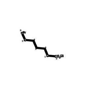 [CH2]COC(=O)OCCCOCCC